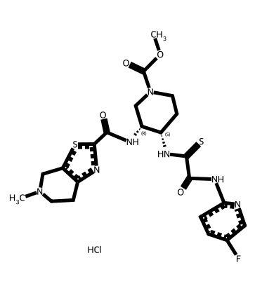 COC(=O)N1CC[C@H](NC(=S)C(=O)Nc2ccc(F)cn2)[C@H](NC(=O)c2nc3c(s2)CN(C)CC3)C1.Cl